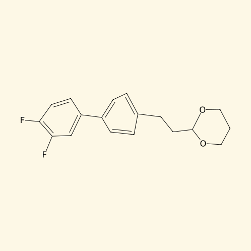 Fc1ccc(-c2ccc(CCC3OCCCO3)cc2)cc1F